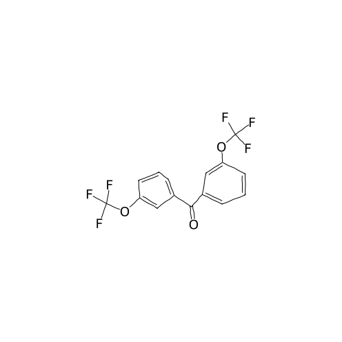 O=C(c1cccc(OC(F)(F)F)c1)c1cccc(OC(F)(F)F)c1